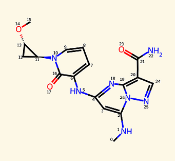 CNc1cc(Nc2cccn([C@H]3C[C@@H]3OC)c2=O)nc2c(C(N)=O)cnn12